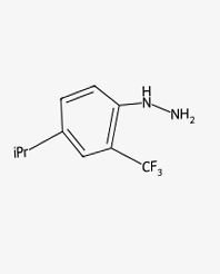 CC(C)c1ccc(NN)c(C(F)(F)F)c1